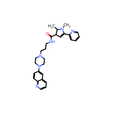 CC1C(C(=O)NCCCN2CCN(c3ccc4ncccc4c3)CC2)C=C(c2ccccn2)N1C